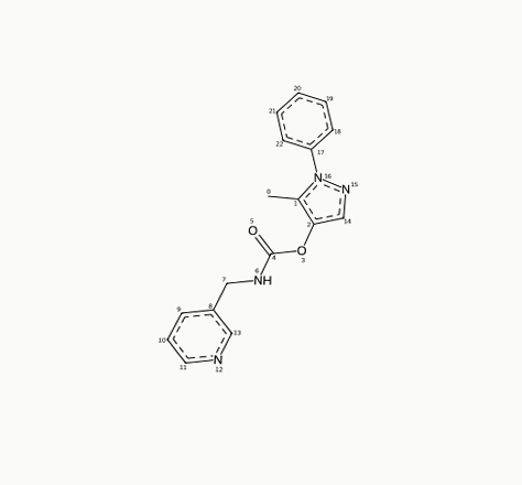 Cc1c(OC(=O)NCc2cccnc2)cnn1-c1ccccc1